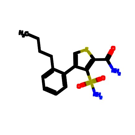 CCCCc1ccccc1-c1csc(C(N)=O)c1S(N)(=O)=O